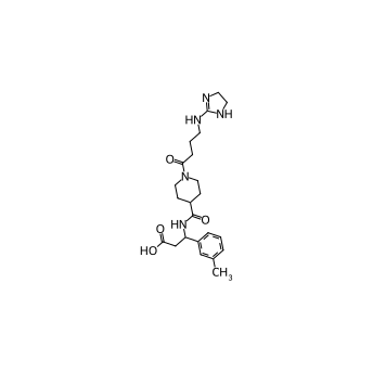 Cc1cccc(C(CC(=O)O)NC(=O)C2CCN(C(=O)CCCNC3=NCCN3)CC2)c1